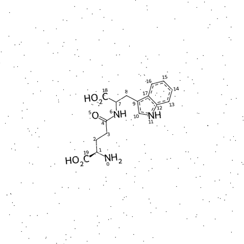 N[C@H](CCC(=O)NC(Cc1c[nH]c2ccccc12)C(=O)O)C(=O)O